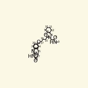 CNC(=O)CN(CC1CCCCC1)C(=O)CCCOc1ccc2c(c1)CN1CC(=O)NC1=N2